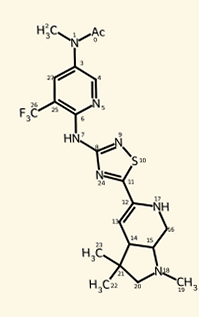 CC(=O)N(C)c1cnc(Nc2nsc(C3=CC4C(CN3)N(C)CC4(C)C)n2)c(C(F)(F)F)c1